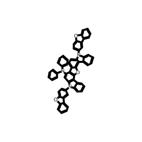 c1ccc(N(c2ccccc2)c2cc3c(c4ccccc4n3-c3ccc4oc5ccccc5c4c3)c3oc4c(ccc5c4c4ccccc4n5-c4ccc5oc6ccccc6c5c4)c23)cc1